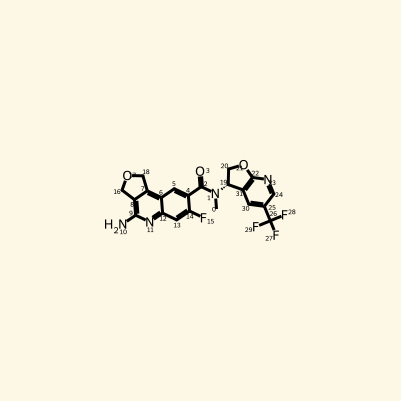 CN(C(=O)c1cc2c3c(c(N)nc2cc1F)COC3)[C@@H]1COc2ncc(C(F)(F)F)cc21